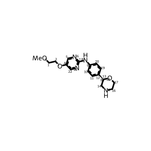 COCCOc1cnc(Nc2ccc([C@@H]3CNCCO3)cc2)nc1